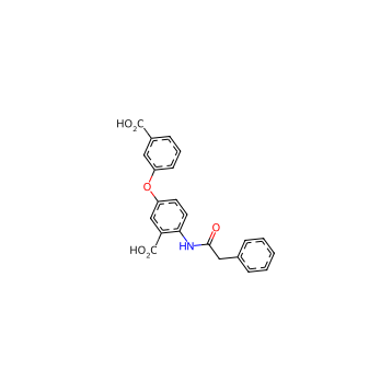 O=C(Cc1ccccc1)Nc1ccc(Oc2cccc(C(=O)O)c2)cc1C(=O)O